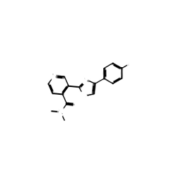 CN(C)C(=O)c1ccncc1-c1nc(-c2ccc(Cl)cc2)cs1